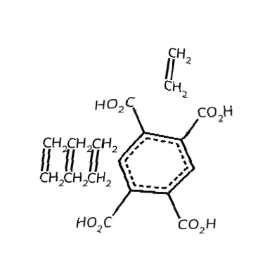 C=C.C=C.C=C.C=C.O=C(O)c1cc(C(=O)O)c(C(=O)O)cc1C(=O)O